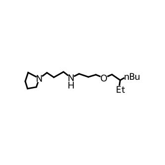 CCCCC(CC)COCCCNCCCN1CCCC1